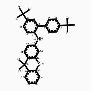 CC(C)(C)c1ccc(-c2cc(C(C)(C)C)ccc2Nc2ccc3c(c2)Sc2ccccc2C3(C)C)cc1